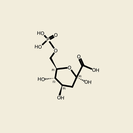 O=C(O)[C@@]1(O)C[C@@H](O)[C@H](O)[C@@H](COP(=O)(O)O)O1